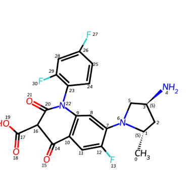 C[C@H]1C[C@H](N)CN1c1cc2c(cc1F)C(=O)C(C(=O)O)C(=O)N2c1ccc(F)cc1F